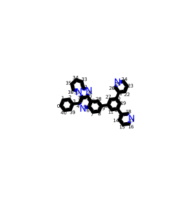 c1ccc(-c2nc3ccc(-c4cc(-c5cccnc5)cc(-c5cccnc5)c4)cc3c3nc4ccccn4c23)cc1